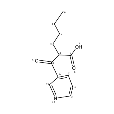 CCCCC(C(=O)O)C(=O)c1cccnc1